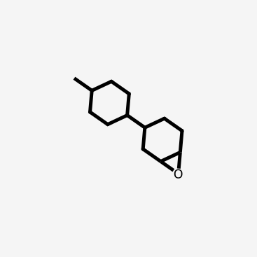 CC1CCC(C2CCC3OC3C2)CC1